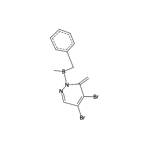 C=C1C(Br)=C(Br)C=NN1B(C)Cc1ccccc1